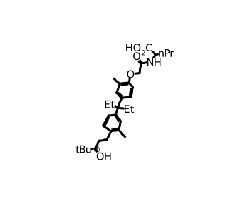 CCCC(NC(=O)COc1ccc(C(CC)(CC)c2ccc(CC[C@@H](O)C(C)(C)C)c(C)c2)cc1C)C(=O)O